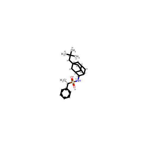 C[C@@H](c1ccccc1)S(=O)(=O)NC1C2CC3CC1CC(CC(C)(C)C)(C3)C2